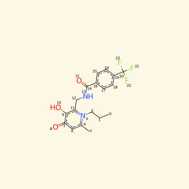 CCCn1c(C)cc(=O)c(O)c1CNC(=O)c1ccc(C(F)(F)F)cc1